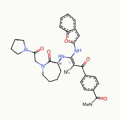 CNC(=O)c1ccc(C(=O)/C(C#N)=C(\Nc2cc3ccccc3o2)N[C@H]2CCCCN(CC(=O)N3CCCC3)C2=O)cc1